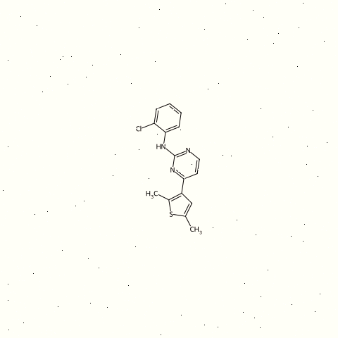 Cc1cc(-c2ccnc(Nc3ccccc3Cl)n2)c(C)s1